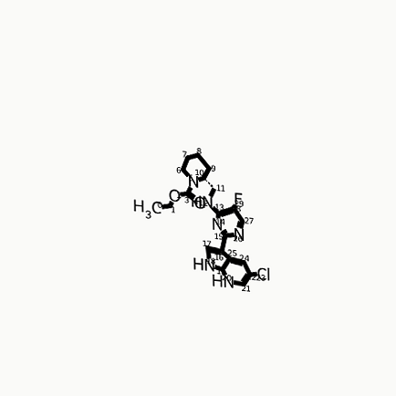 CCOC(=O)N1CCCC[C@@H]1CNc1nc(C2=CNC3NC=C(Cl)C=C23)ncc1F